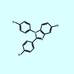 Brc1ccc(-c2nc3cc(Br)ccc3n2-c2ccc(Br)cc2)cc1